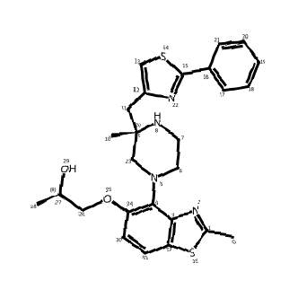 Cc1nc2c(N3CCN[C@@](C)(Cc4csc(-c5ccccc5)n4)C3)c(OC[C@@H](C)O)ccc2s1